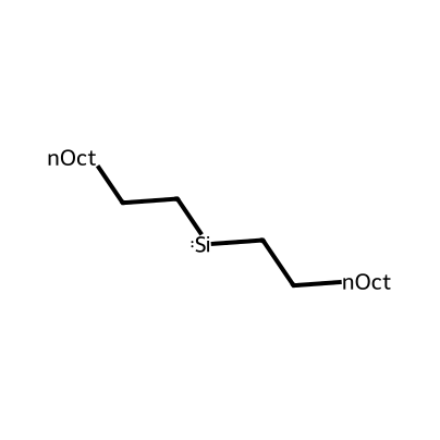 CCCCCCCCCC[Si]CCCCCCCCCC